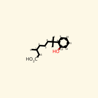 CC(CCCC(C)(C)c1ccccc1O)CC(=O)O